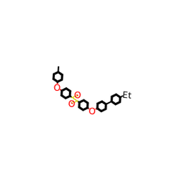 CCc1ccc(-c2ccc(Oc3ccc(S(=O)(=O)c4ccc(Oc5ccc(C)cc5)cc4)cc3)cc2)cc1